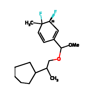 COC(OCC(C)C1CCCCC1)C1=C[C@H](F)C(C)(F)C=C1